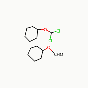 ClC(Cl)OC1CCCCC1.O=COC1CCCCC1